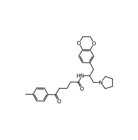 Cc1ccc(C(=O)CCCC(=O)NC(Cc2ccc3c(c2)OCCO3)CN2CCCC2)cc1